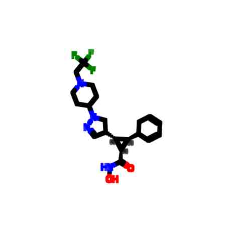 O=C(NO)[C@@H]1[C@H](C2C=CC=CC2)[C@H]1C1C=NN(C2CCN(CC(F)(F)F)CC2)C1